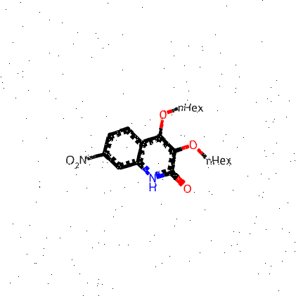 CCCCCCOc1c(OCCCCCC)c2ccc([N+](=O)[O-])cc2[nH]c1=O